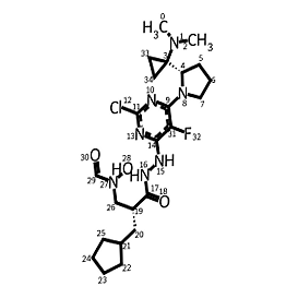 CN(C)C1([C@@H]2CCCN2c2nc(Cl)nc(NNC(=O)[C@H](CC3CCCC3)CN(O)C=O)c2F)CC1